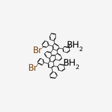 Bc1cccc(-c2cc(-c3ccccc3)c(-c3cccc(Br)c3)c3c4cccc5c6c(-c7cccc(Br)c7)cc(-c7ccccc7)c(-c7cccc(B)c7)c6c6cccc(c23)c6c54)c1